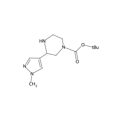 Cn1cc(C2CN(C(=O)OC(C)(C)C)CCN2)cn1